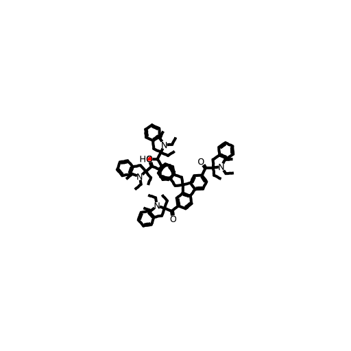 CCN(CC)C(CC)(Cc1ccccc1)C(=O)c1ccc(CC2(Cc3ccc(C(O)C(CC)(Cc4ccccc4)N(CC)CC)cc3)c3cc(C(=O)C(CC)(Cc4ccccc4)N(CC)CC)ccc3-c3ccc(C(=O)C(CC)(Cc4ccccc4)N(CC)CC)cc32)cc1